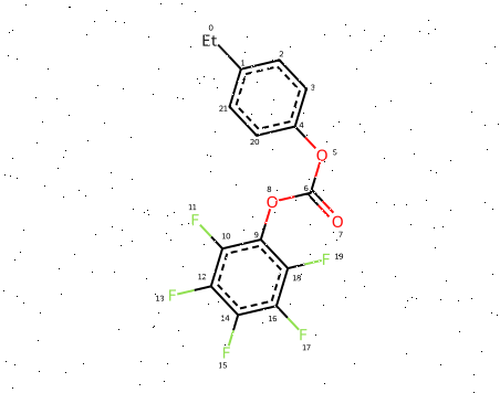 CCc1ccc(OC(=O)Oc2c(F)c(F)c(F)c(F)c2F)cc1